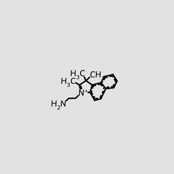 CC1=[N+](CCN)c2ccc3ccccc3c2C1(C)C